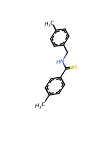 Cc1ccc(CNC(=S)c2ccc(C)cc2)cc1